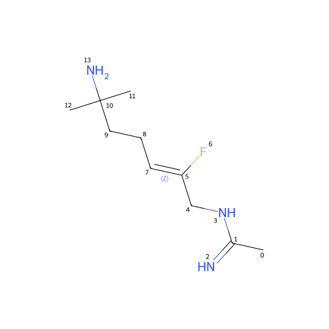 CC(=N)NC/C(F)=C/CCC(C)(C)N